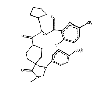 CN1CN(c2ccc(C(=O)O)cc2)C2(CCN(C(=O)C(NC(=O)c3cc(C(F)(F)F)ccc3F)C3CCCC3)CC2)C1=O